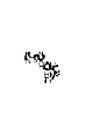 Cc1oc2cc(Oc3ccnc4cc(-c5nccn5C)sc34)ccc2c1C(=O)NCC(C)C